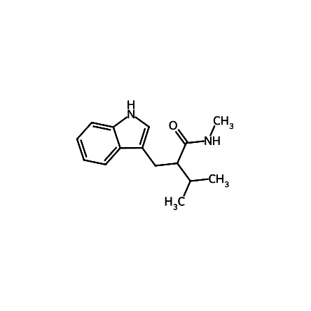 CNC(=O)C(Cc1c[nH]c2ccccc12)C(C)C